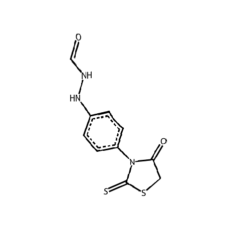 O=CNNc1ccc(N2C(=O)CSC2=S)cc1